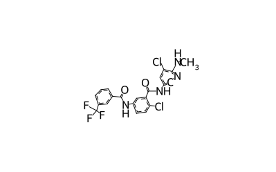 CNc1ncc(NC(=O)c2cc(NC(=O)c3cccc(C(F)(F)F)c3)ccc2Cl)cc1Cl